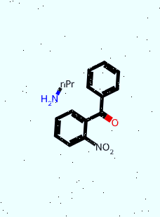 CCCN.O=C(c1ccccc1)c1ccccc1[N+](=O)[O-]